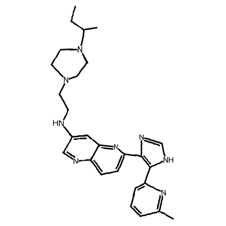 CCC(C)N1CCN(CCNc2cnc3ccc(-c4nc[nH]c4-c4cccc(C)n4)nc3c2)CC1